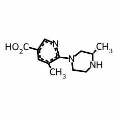 Cc1cc(C(=O)O)cnc1N1CCN[C@H](C)C1